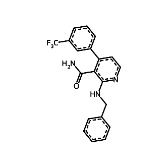 NC(=O)c1c(-c2cccc(C(F)(F)F)c2)ccnc1NCc1ccccc1